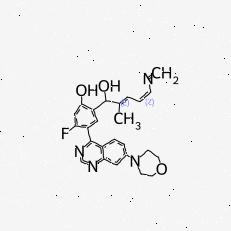 C=N/C=C\C=C(/C)C(O)c1cc(-c2ncnc3cc(N4CCOCC4)ccc23)c(F)cc1O